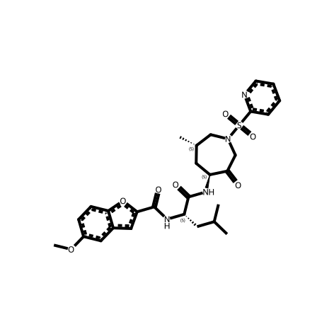 COc1ccc2oc(C(=O)N[C@@H](CC(C)C)C(=O)N[C@H]3C[C@H](C)CN(S(=O)(=O)c4ccccn4)CC3=O)cc2c1